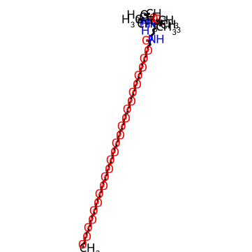 COCCOCCOCCOCCOCCOCCOCCOCCOCCOCCOCCOCCOCCOCCOCCOCCOCCOCCOCCOCCOCCOCCOCCOCCC(=O)NCCCC[C@H](NC(=O)[C@@H](NC(C)(C)C)C(C)C)C(=O)C(C)(C)C